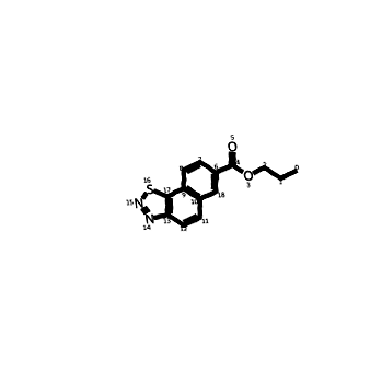 CCCOC(=O)c1ccc2c(ccc3nnsc32)c1